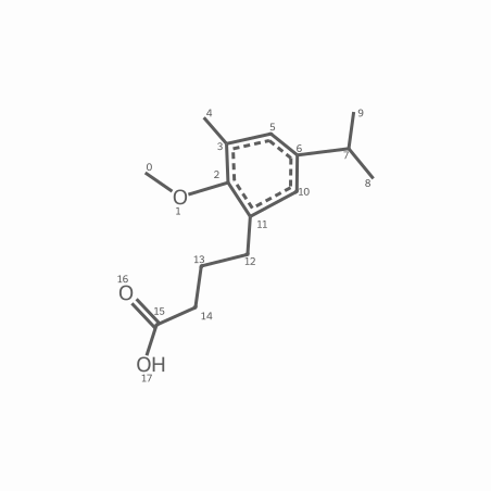 COc1c(C)cc(C(C)C)cc1CCCC(=O)O